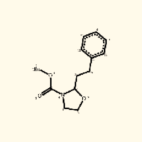 CC(C)(C)OC(=O)N1CCOC1CCc1ccccc1